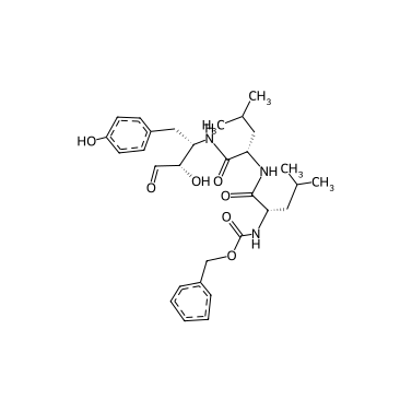 CC(C)C[C@H](NC(=O)OCc1ccccc1)C(=O)N[C@@H](CC(C)C)C(=O)N[C@@H](Cc1ccc(O)cc1)[C@H](O)C=O